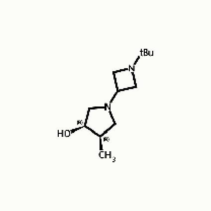 C[C@@H]1CN(C2CN(C(C)(C)C)C2)C[C@@H]1O